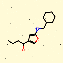 CCCC(O)c1coc(NCC2CCCCC2)c1